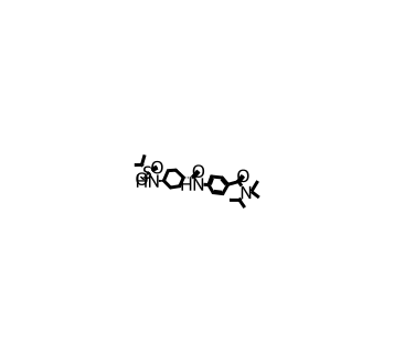 CC(C)N(C(=O)c1ccc(NC(=O)[C@H]2CC[C@H](NS(=O)(=O)C(C)C)CC2)cc1)C(C)C